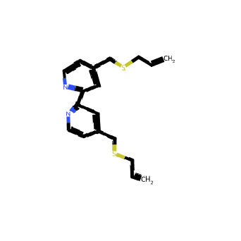 C=CCSCc1ccnc(-c2cc(CSCC=C)ccn2)c1